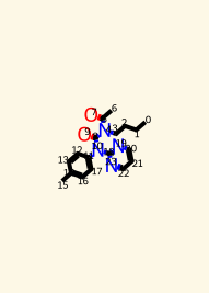 CCCCN(C(C)=O)C(=O)N(c1ccc(C)cc1)c1ncccn1